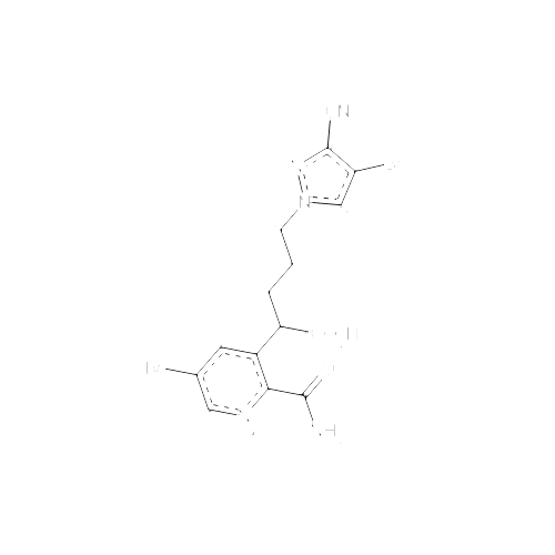 N#Cc1nn(CCCC(C(=O)O)c2cc(Br)cnc2C(N)=O)cc1Br